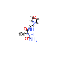 CC(C)(C)[C@H](NC(N)=O)C(=O)NCCN1CCOCC1